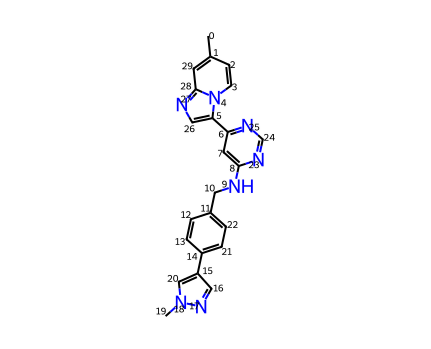 Cc1ccn2c(-c3cc(NCc4ccc(-c5cnn(C)c5)cc4)ncn3)cnc2c1